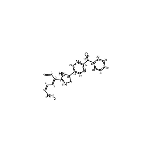 C=C/C(=C\C=C/N)C1=NCC(c2cnc(C(=O)c3ccccc3)nc2)N1